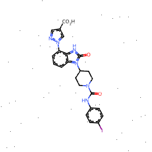 O=C(O)c1cnn(-c2cccc3c2[nH]c(=O)n3C2CCN(C(=O)Nc3ccc(I)cc3)CC2)c1